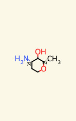 C[C@@H]1OCC[C@H](N)C1O